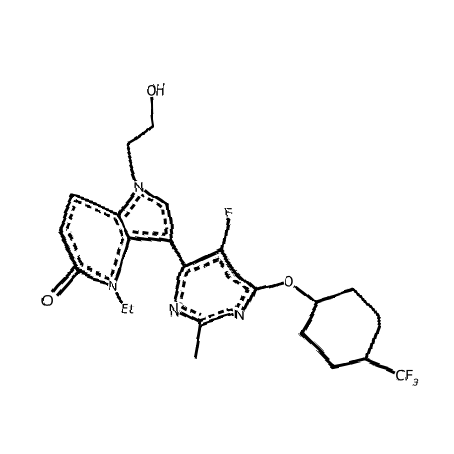 CCn1c(=O)ccc2c1c(-c1nc(C)nc(OC3CCC(C(F)(F)F)CC3)c1F)cn2CCO